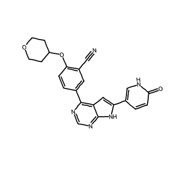 N#Cc1cc(-c2ncnc3[nH]c(-c4ccc(=O)[nH]c4)cc23)ccc1OC1CCOCC1